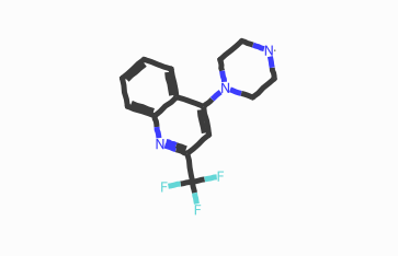 FC(F)(F)c1cc(N2CC[N]CC2)c2ccccc2n1